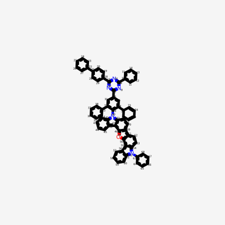 C1=CCC(c2cc(-c3nc(-c4ccccc4)nc(-c4ccc(-c5ccccc5)cc4)n3)cc(-c3ccccc3)c2-n2c3ccccc3c3c4oc5c(ccc6c5c5ccccc5n6-c5ccccc5)c4ccc32)C=C1